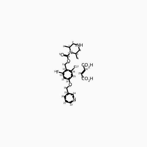 CC1CNCC(C)N1C(=O)OCc1c(F)cc(OCc2cccnc2)cc1F.O=C(O)C=CC(=O)O